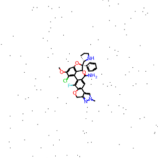 COc1cc2c(c(-c3c(C(N)=O)cc4c(c3F)OCc3nn(C)cc3-4)c1Cl)C[C@](c1ccccc1)([C@@H]1CCCN1)O2